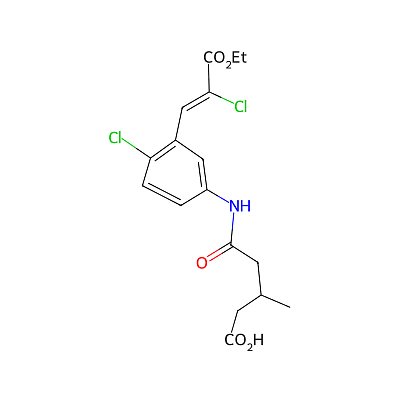 CCOC(=O)C(Cl)=Cc1cc(NC(=O)CC(C)CC(=O)O)ccc1Cl